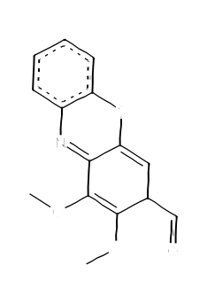 COC1=C(OC)C(C=O)C=C2Sc3ccccc3N=C21